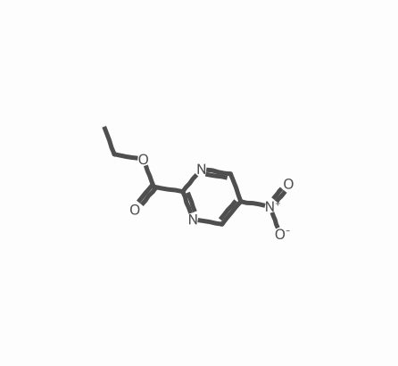 CCOC(=O)c1ncc([N+](=O)[O-])cn1